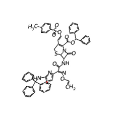 C=CON=C(C(=O)NC1C(=O)N2C(C(=O)OC(c3ccccc3)c3ccccc3)=C(C=COS(=O)(=O)c3ccc(C)cc3)CSC12)c1csc(NC(c2ccccc2)(c2ccccc2)c2ccccc2)n1